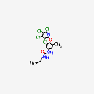 C#CCCNC(=O)Nc1ccc(Oc2nc(Cl)c(Cl)c(Cl)c2Cl)c(C)c1